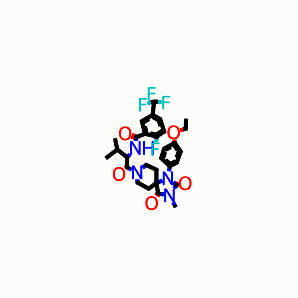 CCOc1ccc(N2C(=O)N(C)C(=O)C23CCN(C(=O)C(NC(=O)c2cc(C(F)(F)F)ccc2F)C(C)C)CC3)cc1